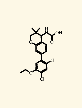 CCOc1cc(-c2ccc3c(c2)OCC(C)(C)C3NC(=O)O)c(Cl)cc1Cl